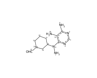 Nc1ncnc(N(N)C2CCCN(C=O)C2)c1N